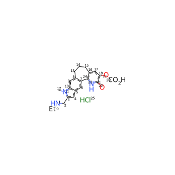 CCNCc1cc2cc3c(cc2n1C)CCCc1cc(OC(=O)O)c(=O)[nH]c1-3.Cl